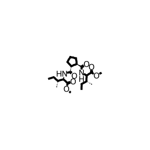 CC[C@@H](C)C(NC(=O)[C@@H]1CCC[C@H]1C(=O)N[C@H](C(=O)OC)[C@H](C)CC)C(=O)OC